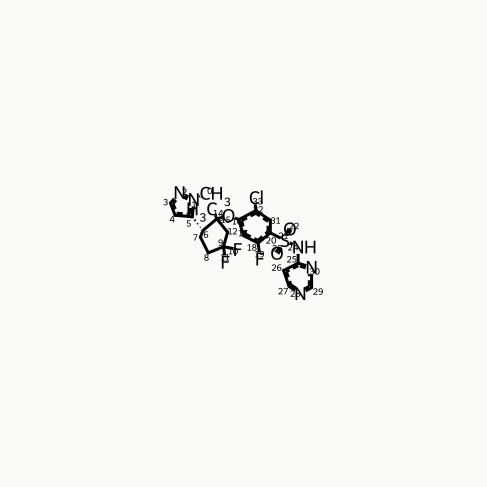 Cn1nccc1[C@H]1CCC(F)(F)C[C@@]1(C)Oc1cc(F)c(S(=O)(=O)Nc2ccncn2)cc1Cl